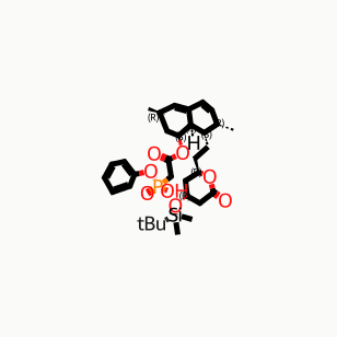 C[C@H]1C=C2C=C[C@H](C)[C@H](CC[C@@H]3C[C@@H](O[Si](C)(C)C(C)(C)C)CC(=O)O3)[C@H]2[C@@H](OC(=O)CP(=O)(O)Oc2ccccc2)C1